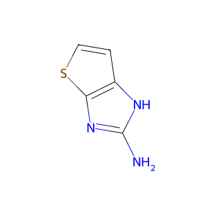 Nc1nc2sccc2[nH]1